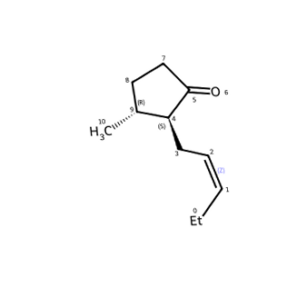 CC/C=C\C[C@@H]1C(=O)CC[C@H]1C